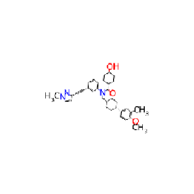 COc1ccc([C@H]2CC[C@H](CN(c3cccc(C#Cc4ccn(C)n4)c3)C(=O)[C@H]3CC[C@H](O)CC3)CC2)cc1C